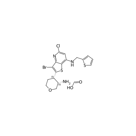 N[C@@H]1COCC[C@@H]1c1sc2c(NCc3cccs3)cc(Cl)nc2c1Br.O=CO